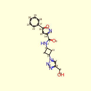 O=C(NC1CC(n2cc(CO)nn2)C1)c1cc(-c2ccccc2)on1